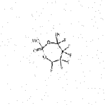 CC(C)C1(F)OP(=O)(O)OC(F)C(F)(F)C1(F)F